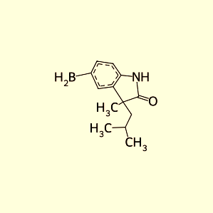 Bc1ccc2c(c1)C(C)(CC(C)C)C(=O)N2